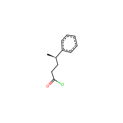 C[C@H](CCC(=O)Cl)c1ccccc1